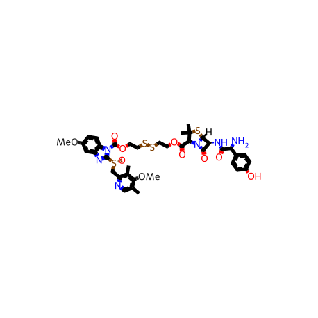 COc1ccc2c(c1)nc([S+]([O-])Cc1ncc(C)c(OC)c1C)n2C(=O)OCCSSCCOC(=O)C1N2C(=O)[C@@H](NC(=O)C(N)c3ccc(O)cc3)[C@H]2SC1(C)C